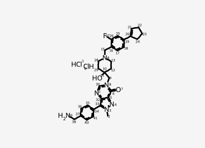 Cl.Cl.Cn1nc2c(=O)n(CC3(O)CCN(Cc4ccc(C5=CCCC5)cc4F)CC3)cnc2c1-c1ccc(CN)cc1